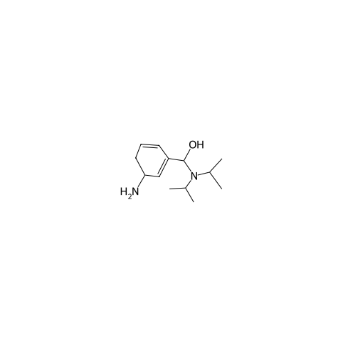 CC(C)N(C(C)C)C(O)C1=CC(N)CC=C1